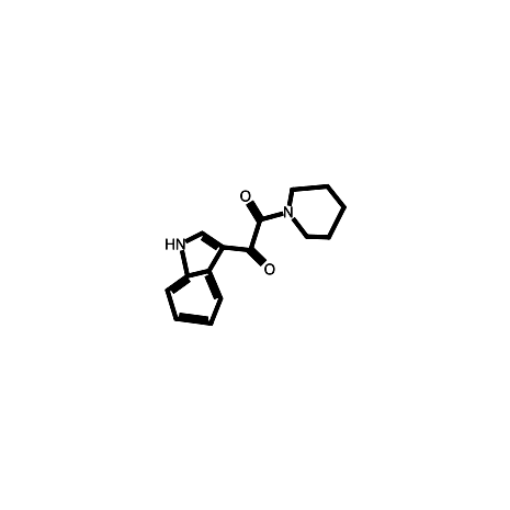 O=C(C(=O)N1CCCCC1)c1c[nH]c2ccccc12